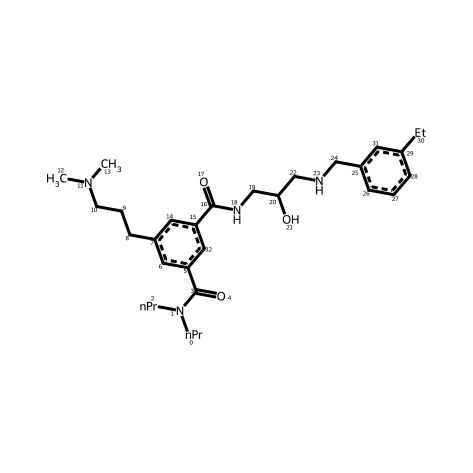 CCCN(CCC)C(=O)c1cc(CCCN(C)C)cc(C(=O)NCC(O)CNCc2cccc(CC)c2)c1